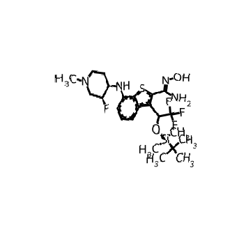 CN1CC[C@@H](Nc2cccc3c(C(O[Si](C)(C)C(C)(C)C)C(F)(F)F)c(/C(N)=N/O)sc23)[C@@H](F)C1